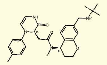 Cc1ccc(N2C=CNC(=O)[C@H]2CC(=O)N(C)[C@@H]2CCOc3cc(CNC(C)(C)C)ccc32)cc1